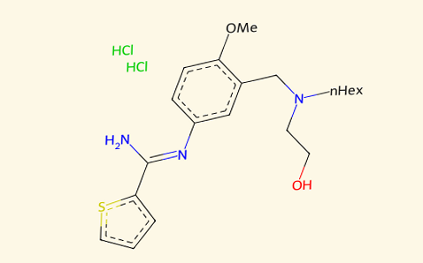 CCCCCCN(CCO)Cc1cc(N=C(N)c2cccs2)ccc1OC.Cl.Cl